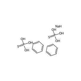 OP(O)(O)=S.OP(O)(O)=S.[NaH].c1ccccc1.c1ccccc1